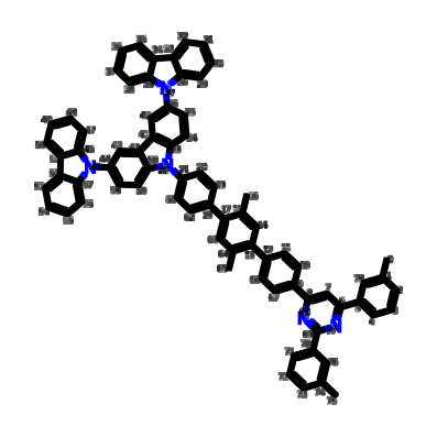 Cc1cccc(-c2cc(-c3ccc(-c4cc(C)c(-c5ccc(-n6c7ccc(-n8c9ccccc9c9ccccc98)cc7c7cc(-n8c9ccccc9c9ccccc98)ccc76)cc5)cc4C)cc3)nc(-c3cccc(C)c3)n2)c1